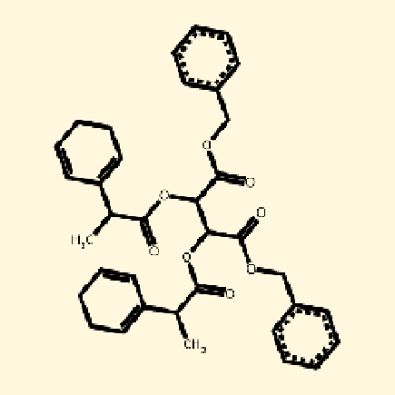 CC(C(=O)OC(C(=O)OCc1ccccc1)C(OC(=O)C(C)C1=CCCC=C1)C(=O)OCc1ccccc1)C1=CCCC=C1